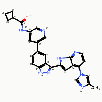 Cc1cn(-c2ccnc3[nH]c(-c4n[nH]c5ccc(-c6cncc(NC(=O)C7CCC7)c6)cc45)cc23)cn1